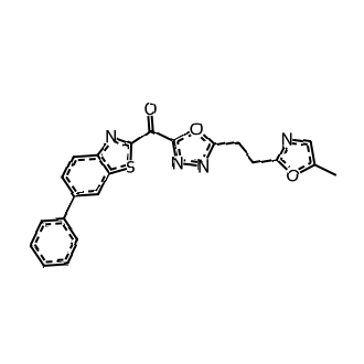 Cc1cnc(CCc2nnc(C(=O)c3nc4ccc(-c5ccccc5)cc4s3)o2)o1